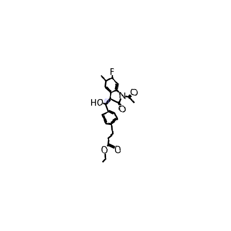 CCOC(=O)CCc1ccc(/C(O)=C2\C(=O)N(C(C)=O)C3=CC(F)C(C)C=C32)cc1